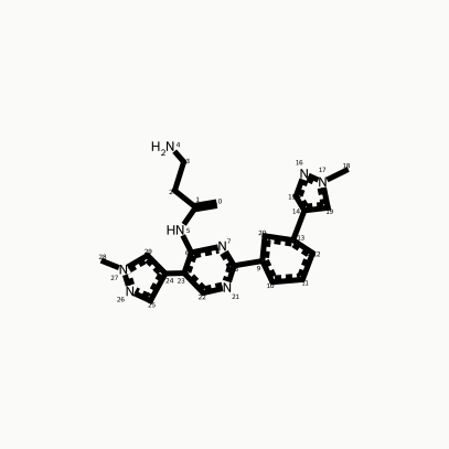 C=C(CCN)Nc1nc(-c2cccc(-c3cnn(C)c3)c2)ncc1-c1cnn(C)c1